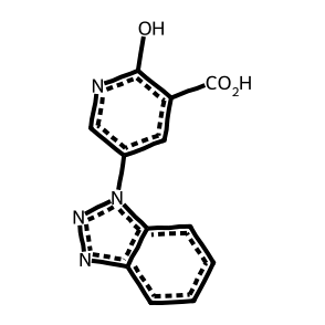 O=C(O)c1cc(-n2nnc3ccccc32)cnc1O